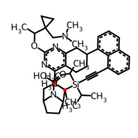 CC(Oc1nc2c(c(N3CC4CCC(C3)N4C(=O)O)n1)CCC(c1cccc3cccc(C#C[Si](C(C)C)(C(C)C)C(C)C)c13)C2)C1(CN(C)C)CC1